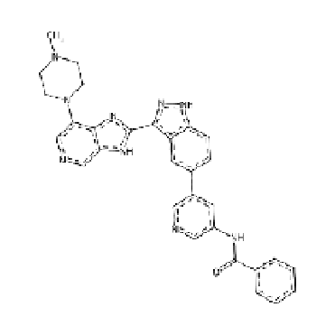 CN1CCN(c2cncc3[nH]c(-c4n[nH]c5ccc(-c6cncc(NC(=O)c7ccccc7)c6)cc45)nc23)CC1